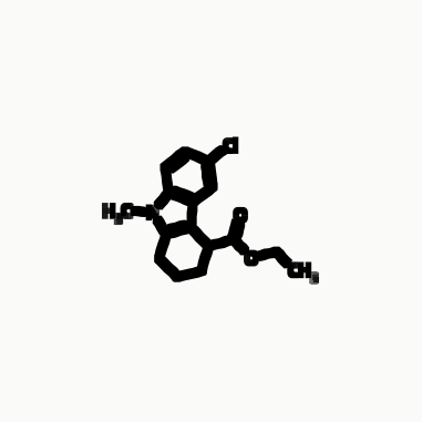 CCOC(=O)C1CCCc2c1c1cc(Cl)ccc1n2C